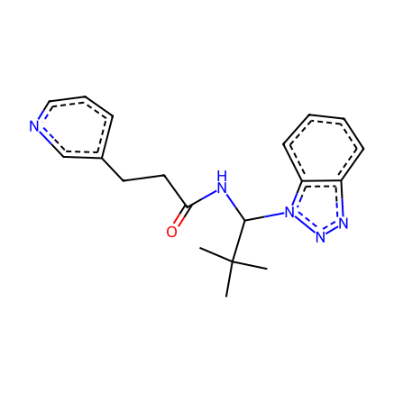 CC(C)(C)C(NC(=O)CCc1cccnc1)n1nnc2ccccc21